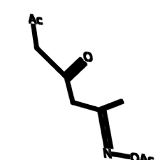 CC(=O)CC(=O)C/C(C)=N/OC(C)=O